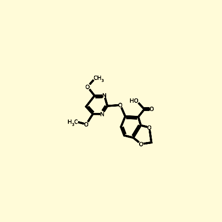 COc1cc(OC)nc(Oc2ccc3c(c2C(=O)O)OCO3)n1